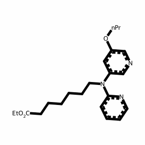 CCCOc1cncc(N(CCCCCCC(=O)OCC)c2ccccn2)c1